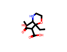 CCC1NCCOC1(CC)C(C(=O)O)C(=O)O